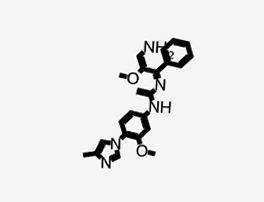 C=C(/N=C(\C(=C/N)OC)c1ccccc1)Nc1ccc(-n2cnc(C)c2)c(OC)c1